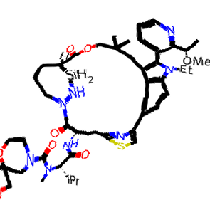 CCn1c(-c2cccnc2[C@H](C)OC)c2c3cc(ccc31)-c1csc(n1)C[C@H](NC(=O)[C@H](C(C)C)N(C)C(=O)N1CCOC3(COC3)C1)C(=O)N1CCC[C@H]([SiH2]N1)C(=O)OCC(C)(C)C2